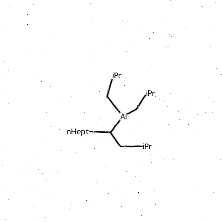 CCCCCCC[CH](CC(C)C)[Al]([CH2]C(C)C)[CH2]C(C)C